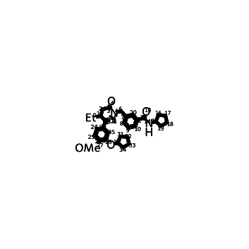 CCC1CC(=O)N(Cc2cccc(C(=O)NC3CCCC3)c2)N=C1c1ccc(OC)c(OC2CCCC2)c1